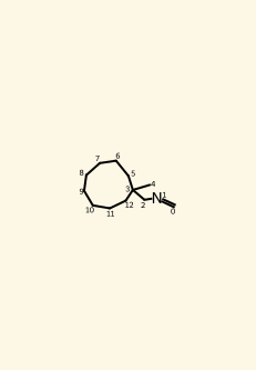 C=NCC1(C)CCCCCCCC1